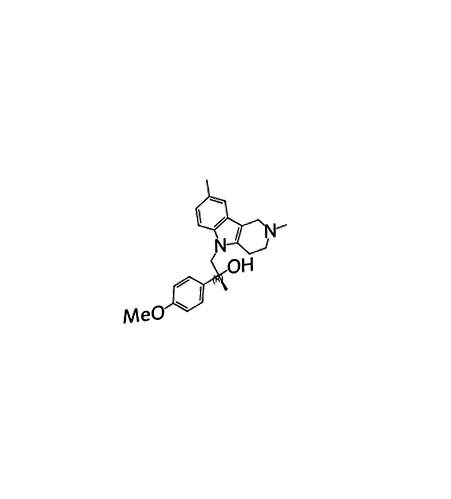 COc1ccc([C@@](C)(O)Cn2c3c(c4cc(C)ccc42)CN(C)CC3)cc1